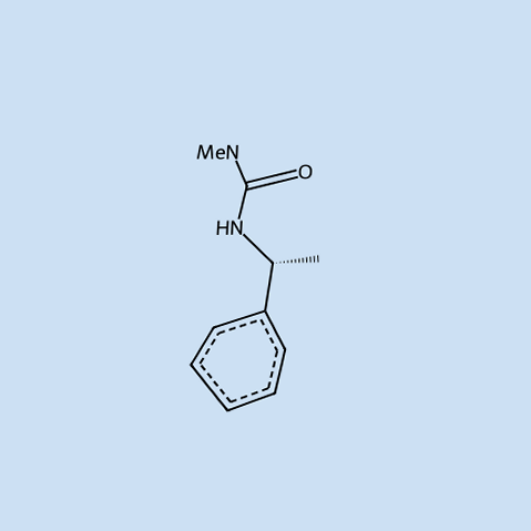 CNC(=O)N[C@H](C)c1ccccc1